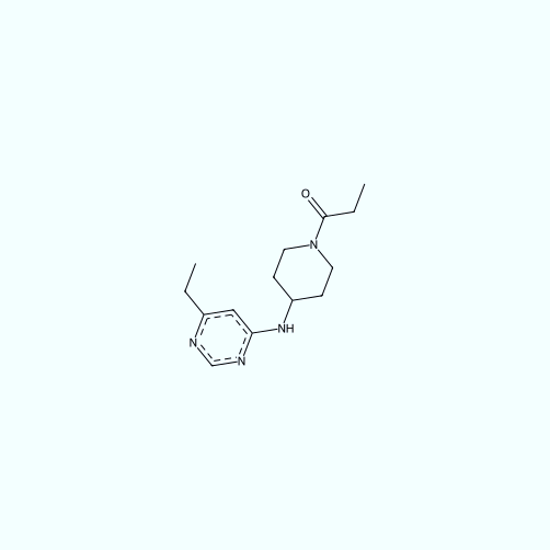 CCC(=O)N1CCC(Nc2cc(CC)ncn2)CC1